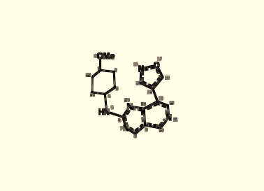 COC1CCC(Nc2ncc3cncc(-c4cnoc4)c3n2)CC1